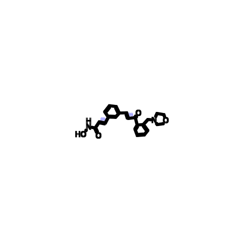 O=C(/C=C/c1cccc(/C=C/C(=O)c2ccccc2CN2CCOCC2)c1)NO